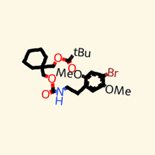 COc1cc(CCNC(=O)OCC2(COC(=O)C(C)(C)C)CCCCC2)c(OC)cc1Br